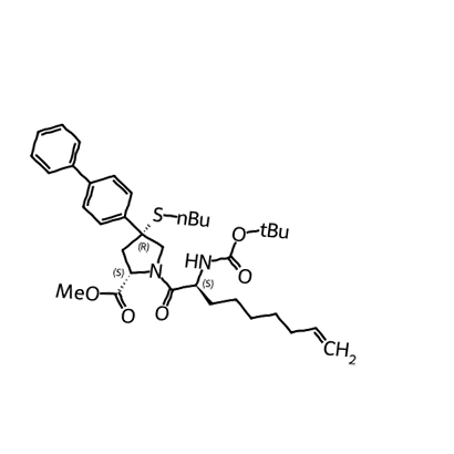 C=CCCCCC[C@H](NC(=O)OC(C)(C)C)C(=O)N1C[C@](SCCCC)(c2ccc(-c3ccccc3)cc2)C[C@H]1C(=O)OC